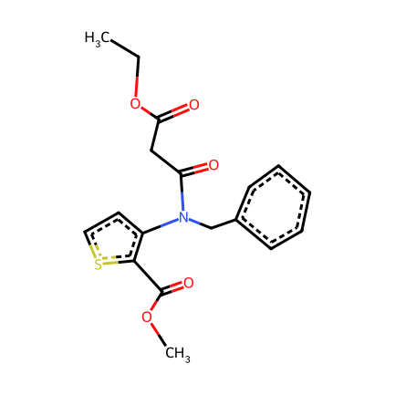 CCOC(=O)CC(=O)N(Cc1ccccc1)c1ccsc1C(=O)OC